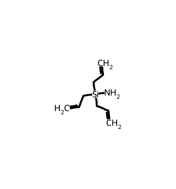 C=CC[Si](N)(CC=C)CC=C